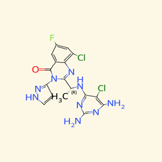 C[C@@H](Nc1nc(N)nc(N)c1Cl)c1nc2c(Cl)cc(F)cc2c(=O)n1-c1cc[nH]n1